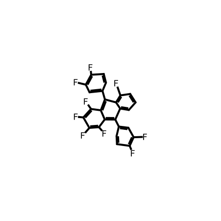 Fc1ccc(-c2c3cccc(F)c3c(-c3ccc(F)c(F)c3)c3c(F)c(F)c(F)c(F)c23)cc1F